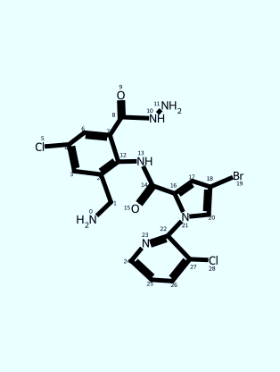 NCc1cc(Cl)cc(C(=O)NN)c1NC(=O)c1cc(Br)cn1-c1ncccc1Cl